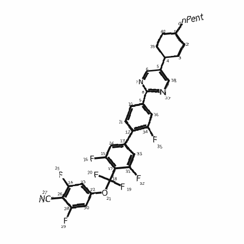 CCCCCC1CCC(c2cnc(-c3ccc(-c4cc(F)c(C(F)(F)Oc5cc(F)c(C#N)c(F)c5)c(F)c4)c(F)c3)nc2)CC1